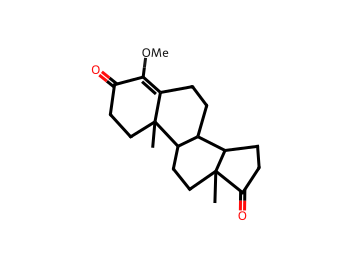 COC1=C2CCC3C4CCC(=O)C4(C)CCC3C2(C)CCC1=O